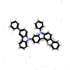 c1ccc(-c2ccc3c(c2)c2ccccc2n3-c2ccc3c4c5sc6ccccc6c5ccc4n(-c4ccccc4)c3c2)cc1